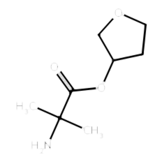 CC(C)(N)C(=O)OC1CCOC1